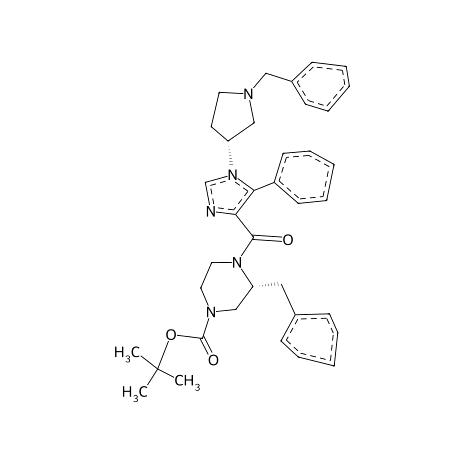 CC(C)(C)OC(=O)N1CCN(C(=O)c2ncn([C@@H]3CCN(Cc4ccccc4)C3)c2-c2ccccc2)[C@H](Cc2ccccc2)C1